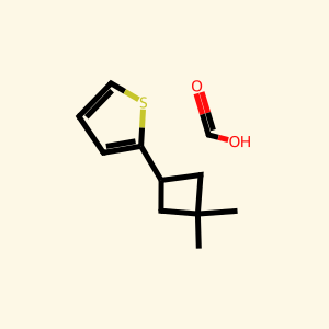 CC1(C)CC(c2cccs2)C1.O=CO